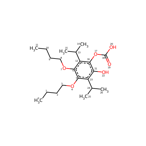 CCCCOc1c(OCCCC)c(C(C)C)c(OC(=O)O)c(O)c1C(C)C